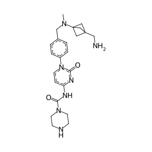 CN(Cc1ccc(-n2ccc(NC(=O)N3CCNCC3)nc2=O)cc1)C12CC(CN)(C1)C2